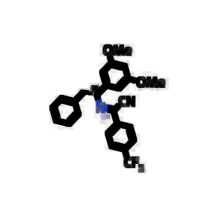 COc1cc(OC)cc([C@@H](Cc2ccccc2)/N=C(\C#N)c2ccc(C(F)(F)F)cc2)c1